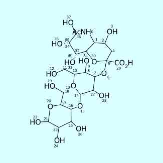 CC(=O)NC1C(O)CC(OC2C(O)C(CO)OC(OC3C(CO)OC(O)C(O)C3O)C2O)(C(=O)O)OC1[C@H](O)[C@H](O)CO